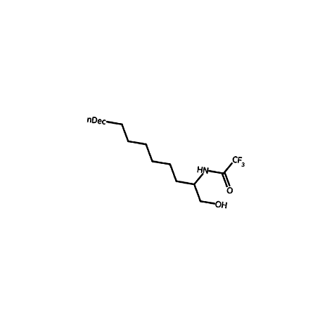 CCCCCCCCCCCCCCCCC(CO)NC(=O)C(F)(F)F